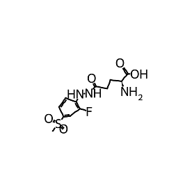 CS(=O)(=O)c1ccc(NNC(=O)CC[C@H](N)C(=O)O)c(F)c1